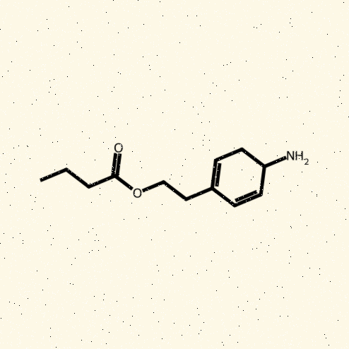 CCCC(=O)OCCC1=CCC(N)C=C1